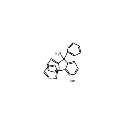 Br.NC(c1ccccc1)(c1ccccc1)c1ccccc1-c1ccccc1